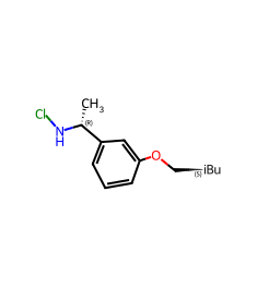 CC[C@H](C)COc1cccc([C@@H](C)NCl)c1